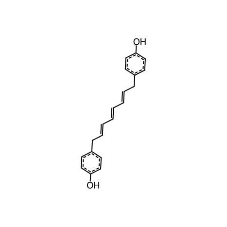 Oc1ccc(C/C=C/C=C/C=C/Cc2ccc(O)cc2)cc1